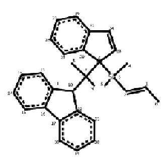 CC=C[Si](C)(C)C1(C(C)(C)C2c3ccccc3-c3ccccc32)C=Cc2ccccc21